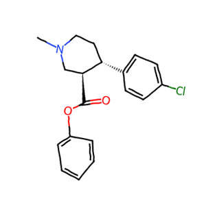 CN1CC[C@H](c2ccc(Cl)cc2)[C@@H](C(=O)Oc2ccccc2)C1